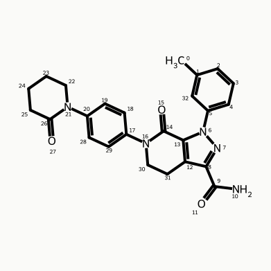 Cc1cccc(-n2nc(C(N)=O)c3c2C(=O)N(c2ccc(N4CCCCC4=O)cc2)CC3)c1